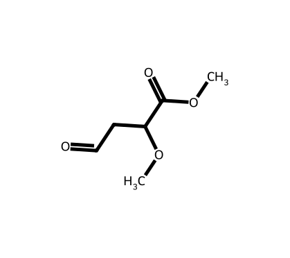 COC(=O)C(CC=O)OC